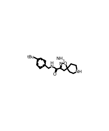 CC(C)(C)c1ccc(CNC(=O)C2=NOC3(CCNCC3)C2)cc1.N